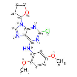 COc1ccc(OC)c(Nc2nc(Cl)nc3c2ncn3C2CCCO2)c1